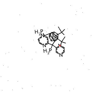 CC(C)(C)[C]12[CH]3[C]4(CP)[C]5(C(P)(c6cnccn6)c6cnccn6)[C]1(C(C)(C)C)[Fe]34251678[CH]2[CH]1[CH]6[CH]7[CH]28